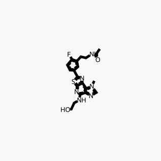 CC(=O)NCCc1cc(-c2nc3c(nc(NCCO)c4ncn(C)c43)s2)ccc1F